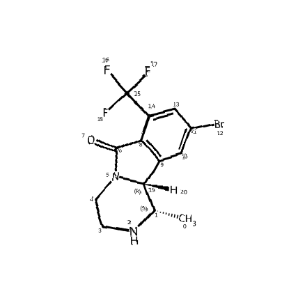 C[C@@H]1NCCN2C(=O)c3c(cc(Br)cc3C(F)(F)F)[C@H]12